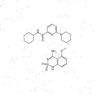 NC1=NS(=O)(=O)Nc2cccc(OC[C@H]3CCCN(c4cccc(C(=O)NC5CCCCC5)n4)C3)c21